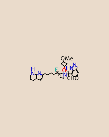 COC1CC(OCC(C=O)(c2cccc3cn[nH]c23)N2CC[C@@H]([C@@H](F)CCCCc3ccc4c(n3)NCCC4)C2)C1